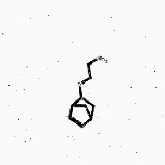 NCCOC1CC2C=CC1C2